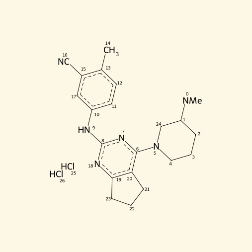 CNC1CCCN(c2nc(Nc3ccc(C)c(C#N)c3)nc3c2CCC3)C1.Cl.Cl